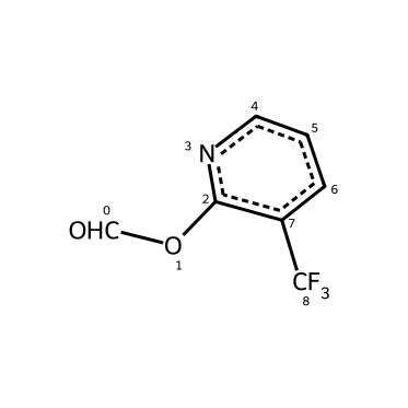 O=COc1ncccc1C(F)(F)F